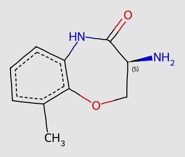 Cc1cccc2c1OC[C@H](N)C(=O)N2